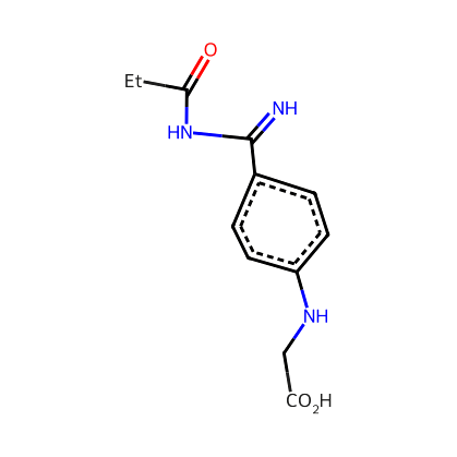 CCC(=O)NC(=N)c1ccc(NCC(=O)O)cc1